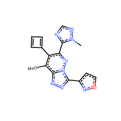 COc1c(C2=CC=C2)c(-c2ncnn2C)nn2c(-c3ccon3)nnc12